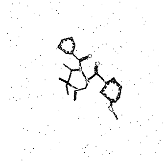 C=CCN(C(=O)c1cccc(OC)c1)N(C(=O)c1ccccc1)C(C)C(C)(C)C